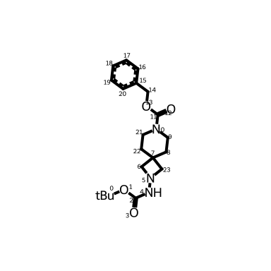 CC(C)(C)OC(=O)NN1CC2(CCN(C(=O)OCc3ccccc3)CC2)C1